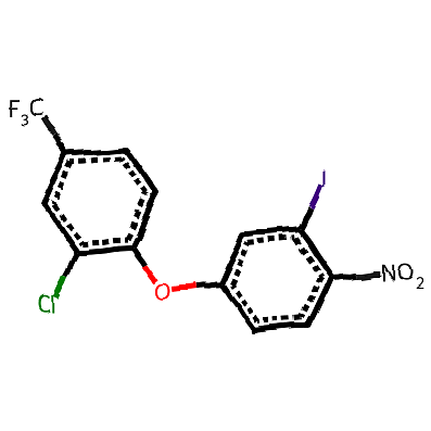 O=[N+]([O-])c1ccc(Oc2ccc(C(F)(F)F)cc2Cl)cc1I